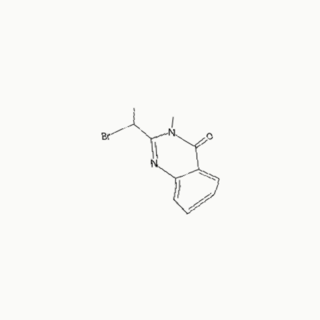 CC(Br)c1nc2ccccc2c(=O)n1C